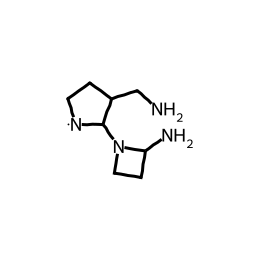 NCC1CC[N]C1N1CCC1N